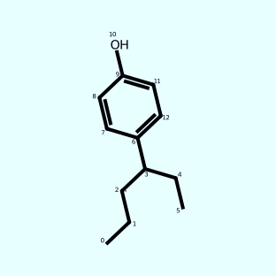 CC[CH]C(CC)c1ccc(O)cc1